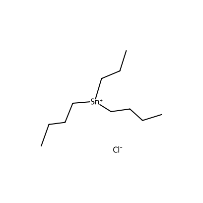 CCC[CH2][Sn+]([CH2]CC)[CH2]CCC.[Cl-]